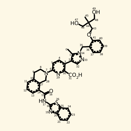 Cc1c(-c2ccc(N3CCc4cccc(C(=O)Nc5nc6ccccc6s5)c4C3)nc2C(=O)O)cnn1Cc1ccccc1OCC(C)(CO)CO